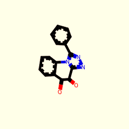 O=C1C(=O)c2nnc(-c3ccccc3)n2-c2ccccc21